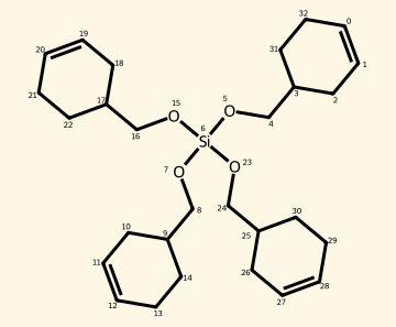 C1=CCC(CO[Si](OCC2CC=CCC2)(OCC2CC=CCC2)OCC2CC=CCC2)CC1